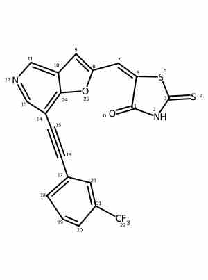 O=C1NC(=S)SC1=Cc1cc2cncc(C#Cc3cccc(C(F)(F)F)c3)c2o1